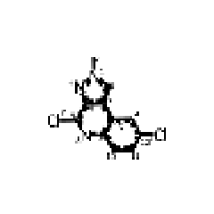 Cn1cc2c(n1)c(Cl)nc1ccc(Cl)cc12